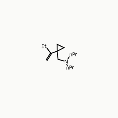 C=C(CC)C1(CN(CCC)CCC)CC1